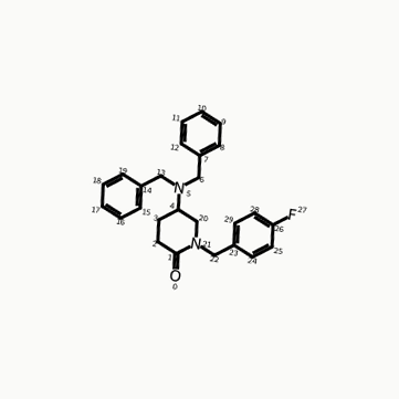 O=C1CCC(N(Cc2ccccc2)Cc2ccccc2)CN1Cc1ccc(F)cc1